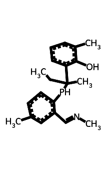 CCC(C)(Pc1ccc(C)cc1/C=N/C)c1cccc(C)c1O